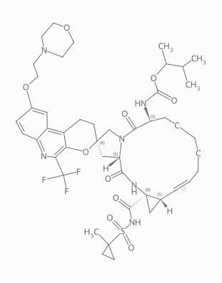 CC(C)C(C)OC(=O)N[C@H]1CCCCC/C=C\[C@@H]2C[C@@]2(C(=O)NS(=O)(=O)C2(C)CC2)NC(=O)[C@@H]2C[C@]3(CCc4c(c(C(F)(F)F)nc5ccc(OCCN6CCOCC6)cc45)O3)CN2C1=O